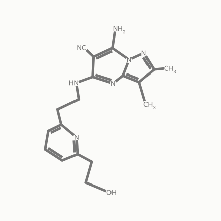 Cc1nn2c(N)c(C#N)c(NCCc3cccc(CCO)n3)nc2c1C